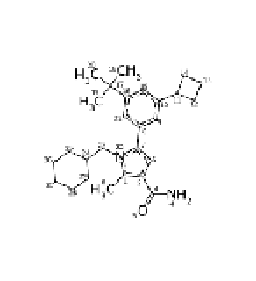 Cc1c(C(N)=O)cc(-c2cc(C3CCC3)cc(C(C)(C)C)c2)n1CC1CCCCC1